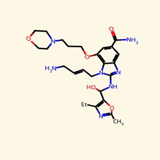 CCc1nc(C)oc1C(O)Nc1nc2cc(C(N)=O)cc(OCCCN3CCOCC3)c2n1C/C=C/CN